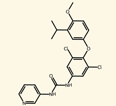 COc1ccc(Oc2c(Cl)cc(NC(=O)Nc3cccnc3)cc2Cl)cc1C(C)C